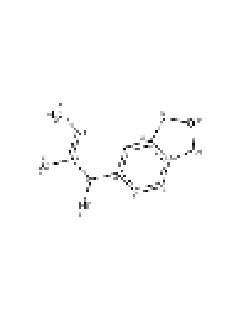 CC=C(C)C(Br)c1ccc2c(c1)COC2